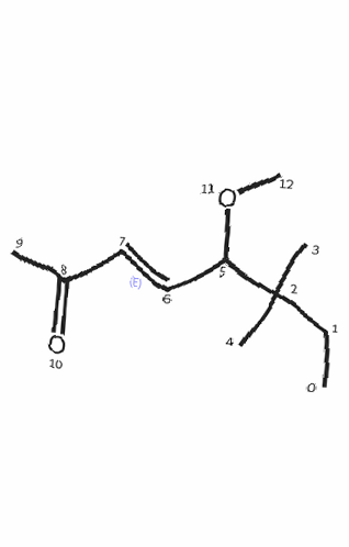 CCC(C)(C)C(/C=C/C(C)=O)OC